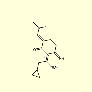 CN/C(CC1CC1)=C1\C(=N)CC/C(=C\N(C)C)C1=O